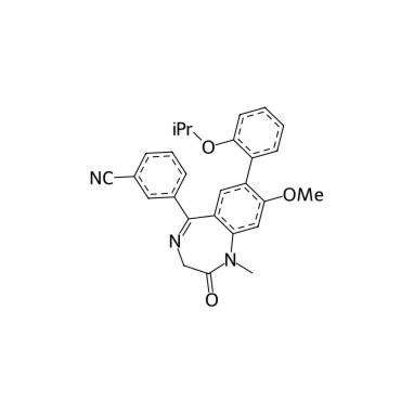 COc1cc2c(cc1-c1ccccc1OC(C)C)C(c1cccc(C#N)c1)=NCC(=O)N2C